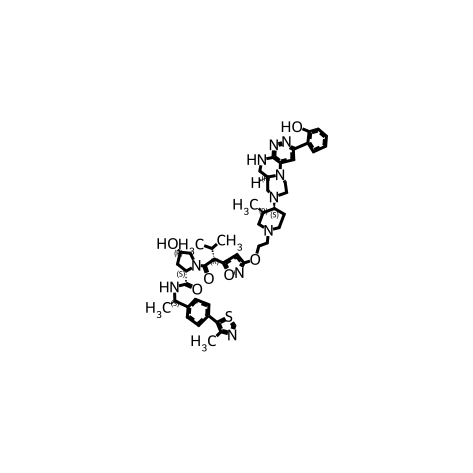 Cc1ncsc1-c1ccc([C@H](C)NC(=O)[C@@H]2C[C@@H](O)CN2C(=O)[C@@H](c2cc(OCCN3CC[C@H](N4CCN5c6cc(-c7ccccc7O)nnc6NC[C@@H]5C4)[C@H](C)C3)no2)C(C)C)cc1